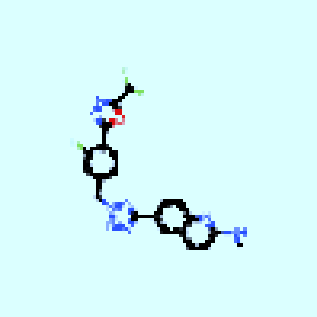 CNc1ccc2cc(-c3nnn(Cc4ccc(-c5nnc(C(F)F)o5)c(F)c4)n3)ccc2n1